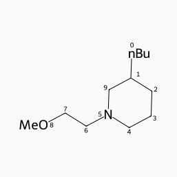 CCCCC1CCCN(CCOC)C1